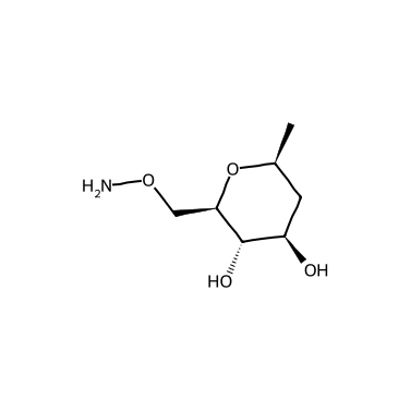 C[C@H]1C[C@@H](O)[C@H](O)[C@@H](CON)O1